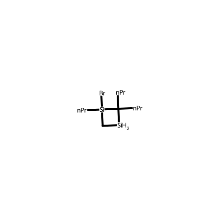 CCCC1(CCC)[SiH2]C[Si]1(Br)CCC